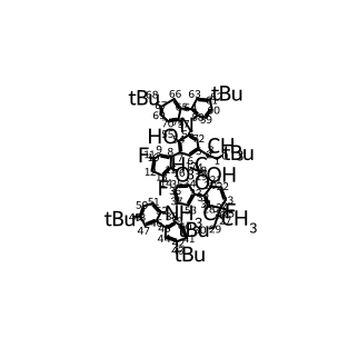 CC(C)(C)CC(C)(C)c1cc(-c2cc(F)cc(F)c2OCCOC2(O)C=CC(F)(C(C)(C)CC(C)(C)C)C=C2c2cccc(-n3c4ccc(C(C)(C)C)cc4c4cc(C(C)(C)C)ccc43)c2)c(O)c(-n2c3ccc(C(C)(C)C)cc3c3cc(C(C)(C)C)ccc32)c1